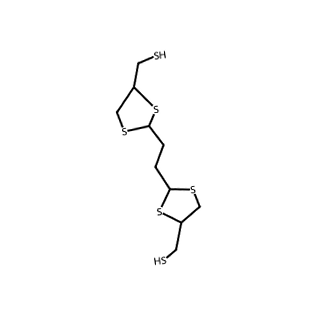 SCC1CSC(CCC2SCC(CS)S2)S1